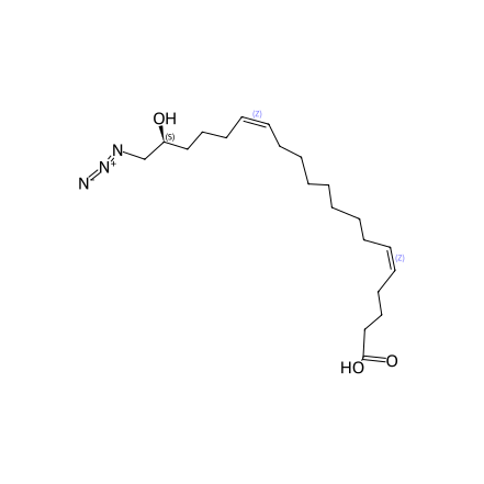 [N-]=[N+]=NC[C@@H](O)CCC/C=C\CCCCCCC/C=C\CCCC(=O)O